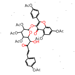 CC(=O)Oc1ccc(C=CC(=O)C(O)C2OC(Oc3c(-c4ccc(OC(C)=O)cc4)oc4cc(OC(C)=O)cc(OC(C)=O)c4c3=O)C(OC(C)=O)C(OC(C)=O)C2OC(C)=O)cc1